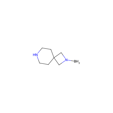 BN1CC2(CCNCC2)C1